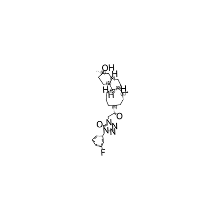 C[C@H]1CC[C@H](C(=O)Cn2nnn(-c3cccc(F)c3)c2=O)CCC[C@H]2[C@H]1CC[C@@H]1C[C@](C)(O)CC[C@@H]12